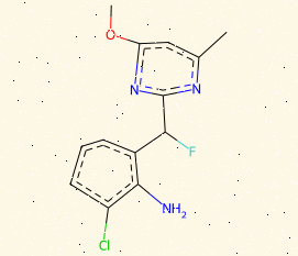 COc1cc(C)nc(C(F)c2cccc(Cl)c2N)n1